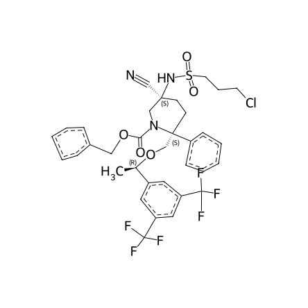 C[C@@H](OC[C@@]1(c2ccccc2)CC[C@](C#N)(NS(=O)(=O)CCCCl)CN1C(=O)OCc1ccccc1)c1cc(C(F)(F)F)cc(C(F)(F)F)c1